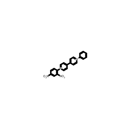 O=[N+]([O-])c1ccc(-[n+]2ccc(-c3cc[n+](-c4ccccc4)cc3)cc2)c([N+](=O)[O-])c1